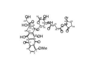 COc1cccc2c1C(=O)c1c(O)c3c(c(O)c1C2=O)C[C@@](O)(C(=O)CO)C[C@@H]3OC1C[C@H](NC(=O)CCC(=O)ON2C(=O)CCC2=O)[C@H](O)[C@H](C)O1